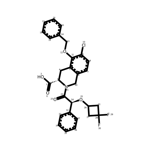 O=C(O)[C@@H]1Cc2c(ccc(Cl)c2OCc2ccccc2)CN1C(=O)[C@@H](OC1CC(F)(F)C1)c1ccccc1